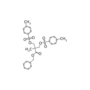 Cc1ccc(S(=O)(=O)OCC(C)(COS(=O)(=O)c2ccc(C)cc2)C(=O)OCc2ccccc2)cc1